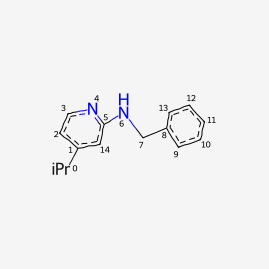 CC(C)c1ccnc(NCc2ccccc2)c1